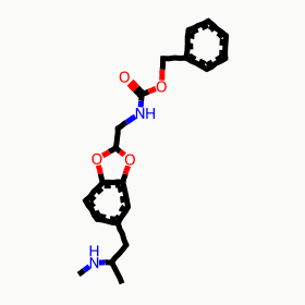 CNC(C)Cc1ccc2c(c1)OC(CNC(=O)OCc1ccccc1)O2